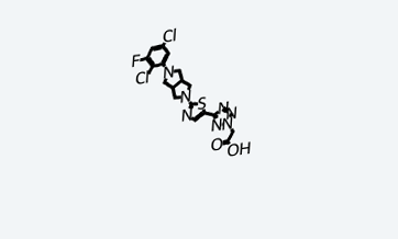 O=C(O)Cn1nnc(-c2cnc(N3CC4CN(c5cc(Cl)cc(F)c5Cl)CC4C3)s2)n1